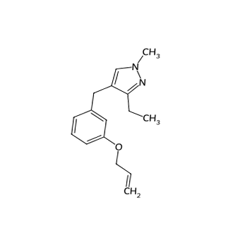 C=CCOc1cccc(Cc2cn(C)nc2CC)c1